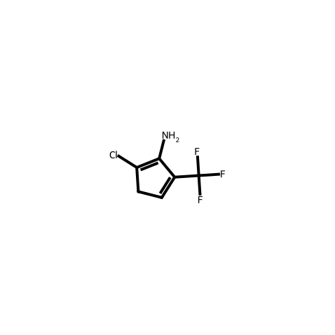 NC1=C(Cl)CC=C1C(F)(F)F